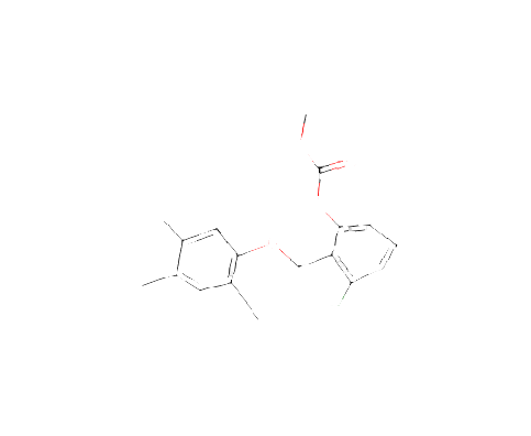 COC(=O)Oc1cccc(Cl)c1COc1cc(C)c(C)cc1C